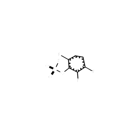 O=S(=O)(F)Oc1c(F)ccc(F)c1F